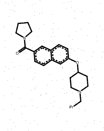 CC(C)CN1CCC(Oc2ccc3cc(C(=O)N4CCCC4)ccc3c2)CC1